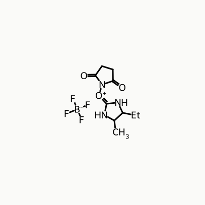 CCC1NC(=[O+]N2C(=O)CCC2=O)NC1C.F[B-](F)(F)F